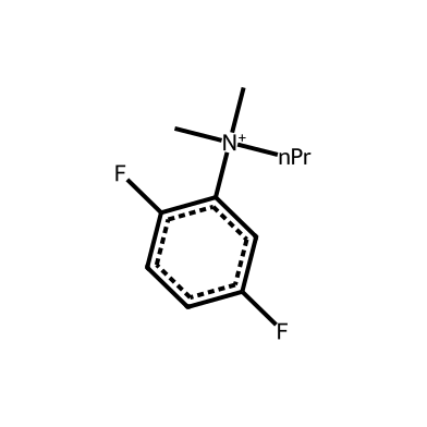 [CH2]CC[N+](C)(C)c1cc(F)ccc1F